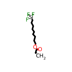 C=CC(=O)OCCCCCCCCC[Si](F)(F)F